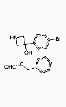 O=COCc1ccccc1.OC1(c2ccc(Br)cc2)CNC1